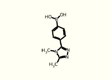 Cc1nnc(-c2ccc(B(O)O)cc2)n1C